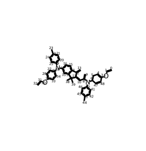 C=COC1=CCC(N(C(=C)/C=C2\C(=C)c3ccc(N(c4ccc(C)cc4)c4ccc(OC=C)cc4)cc3C2(C)C)c2ccc(C)cc2)C=C1